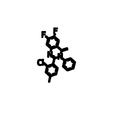 C=C1c2cc(F)c(F)cc2N=C(c2ccc(C)cc2Cl)N1c1ccccc1